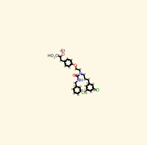 CCOC(Cc1ccc(OCCN(CCCc2cc(Cl)cc(Cl)c2)C(=O)NCc2ccccc2)cc1)C(=O)O